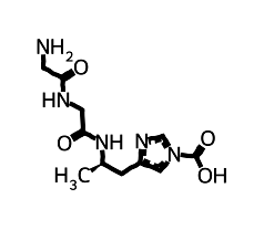 C[C@H](Cc1cn(C(=O)O)cn1)NC(=O)CNC(=O)CN